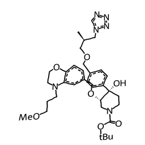 COCCCN1CCOc2ccc(CO[C@H]3CN(C(=O)OC(C)(C)C)CC[C@]3(O)c3ccc(COC[C@@H](C)Cn4cnnn4)cc3)cc21